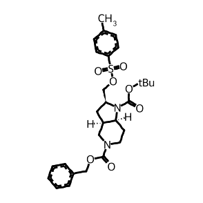 Cc1ccc(S(=O)(=O)OC[C@@H]2C[C@@H]3CN(C(=O)OCc4ccccc4)CC[C@@H]3N2C(=O)OC(C)(C)C)cc1